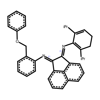 CC(C)C1=CCCC(C(C)C)=C1/N=C1/C(=N/c2ccccc2COc2ccccc2)c2cccc3cccc1c23